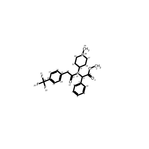 COC(=O)C(c1ccccc1)N(C(=O)Cc1ccc(C(F)(F)F)cc1)C1CCN(C)CC1